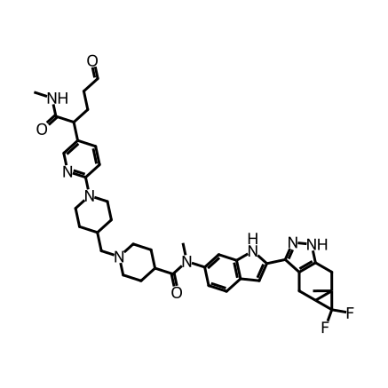 CNC(=O)C(CCC=O)c1ccc(N2CCC(CN3CCC(C(=O)N(C)c4ccc5cc(-c6n[nH]c7c6CC6C(F)(F)C6(C)C7)[nH]c5c4)CC3)CC2)nc1